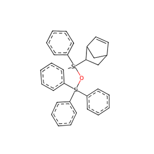 C[Si](O[Si](c1ccccc1)(c1ccccc1)c1ccccc1)(c1ccccc1)C1CC2C=CC1C2